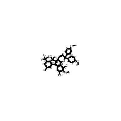 COc1ccc(C2(c3ccc(OC)cc3)C=Cc3c4c(c5cc(O)c(OC)c(Cl)c5c3O2)-c2cc(C)cc(C(F)(F)F)c2C4(C)C)cc1